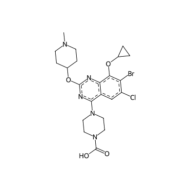 CN1CCC(Oc2nc(N3CCN(C(=O)O)CC3)c3cc(Cl)c(Br)c(OC4CC4)c3n2)CC1